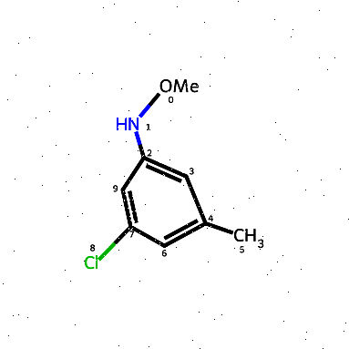 CONc1cc(C)cc(Cl)c1